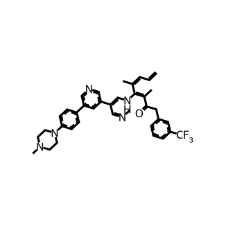 C=C/C=C(C)\C(N/C=C(\C=N/C)c1cncc(-c2ccc(N3CCN(C)CC3)cc2)c1)=C(/C)C(=O)Cc1cccc(C(F)(F)F)c1